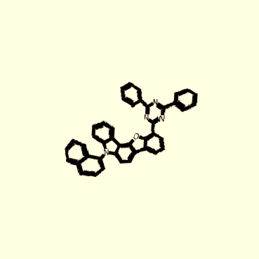 c1ccc(-c2nc(-c3ccccc3)nc(-c3cccc4c3oc3c4ccc4c3c3ccccc3n4-c3cccc4ccccc34)n2)cc1